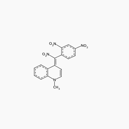 CN1C=C/C(=C(\c2ccc([N+](=O)[O-])cc2[N+](=O)[O-])[N+](=O)[O-])c2ccccc21